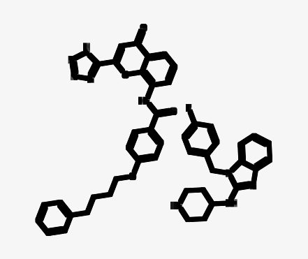 Fc1ccc(Cn2c(NC3CCNCC3)nc3ccccc32)cc1.O=C(Nc1cccc2c(=O)cc(-c3nnn[nH]3)oc12)c1ccc(OCCCCc2ccccc2)cc1